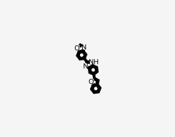 c1ccc2oc(-c3ccc4[nH]c(-c5ccc6ocnc6c5)nc4c3)cc2c1